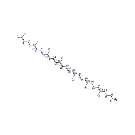 CC(C)=CCC/C(C)=C/C=C/C(C)=C/C=C/C(C)=C/C=C/C=C(C)/C=C/C=C(\C)CC/C=C(\C)CCCC(C)C